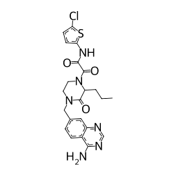 CCCC1C(=O)N(Cc2ccc3c(N)ncnc3c2)CCN1C(=O)C(=O)Nc1ccc(Cl)s1